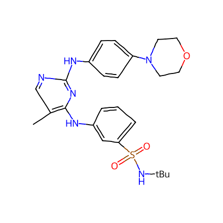 Cc1cnc(Nc2ccc(N3CCOCC3)cc2)nc1Nc1cccc(S(=O)(=O)NC(C)(C)C)c1